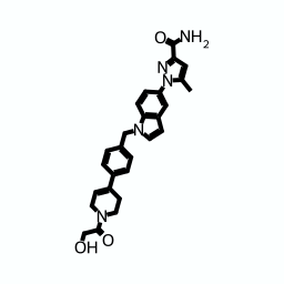 Cc1cc(C(N)=O)nn1-c1ccc2c(ccn2Cc2ccc(C3=CCN(C(=O)CO)CC3)cc2)c1